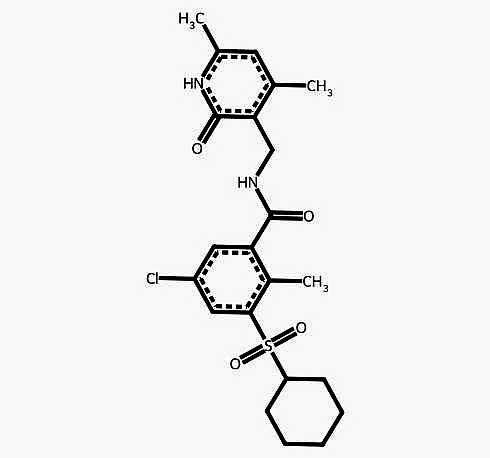 Cc1cc(C)c(CNC(=O)c2cc(Cl)cc(S(=O)(=O)C3CCCCC3)c2C)c(=O)[nH]1